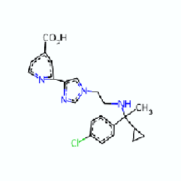 CC(NCCn1cnc(-c2cc(C(=O)O)ccn2)c1)(c1ccc(Cl)cc1)C1CC1